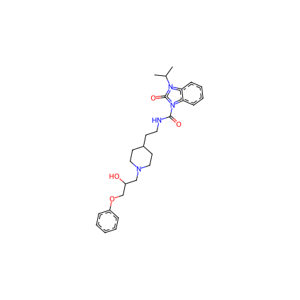 CC(C)n1c(=O)n(C(=O)NCCC2CCN(CC(O)COc3ccccc3)CC2)c2ccccc21